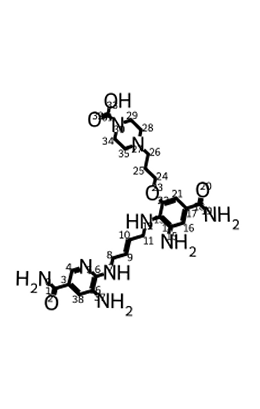 NC(=O)c1cnc(NC/C=C/CNc2c(N)cc(C(N)=O)cc2OCCCN2CCN(C(=O)O)CC2)c(N)c1